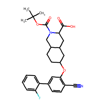 CC(C)(C)OC(=O)N1CC2CCC(Oc3cc(-c4ccccc4F)ccc3C#N)CC2CC1C(=O)O